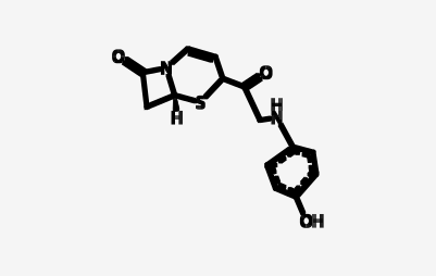 O=C(CNc1ccc(O)cc1)C1C=CN2C(=O)C[C@H]2S1